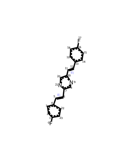 Fc1ccc(/C=C/c2cnc(/C=C/c3ccc(F)cc3)cn2)cc1